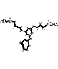 CCCCCCCCCCCCCCc1cc(CCCCCCCCCCCCCC)c[n+](Cc2ccccc2)c1